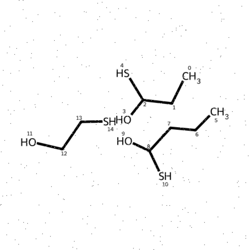 CCC(O)S.CCCC(O)S.OCCS